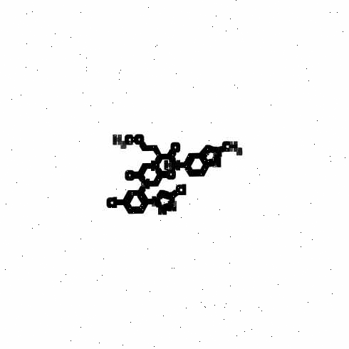 COCC[C@@H](C(=O)Nc1ccc2nn(C)cc2c1)N1CC(=O)N(c2cc(Cl)ccc2-n2cc(Cl)nn2)CC1=O